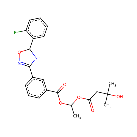 CC(OC(=O)CC(C)(C)O)OC(=O)c1cccc(C2=NOC(c3ccccc3F)N2)c1